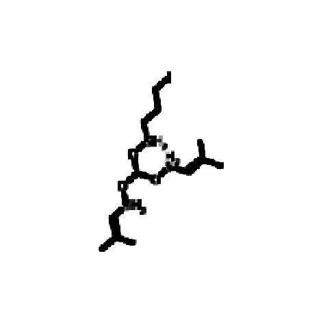 CC(C)=C[SiH2]OC(O[SiH2]C=C(C)C)O[SiH2]CCCI